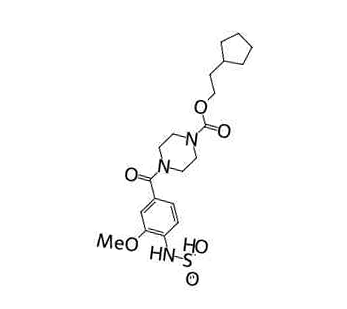 COc1cc(C(=O)N2CCN(C(=O)OCCC3CCCC3)CC2)ccc1N[SH](=O)=O